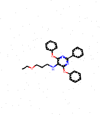 CCOCCCNc1c(Oc2ccccc2)nc(-c2ccccc2)nc1Oc1ccccc1